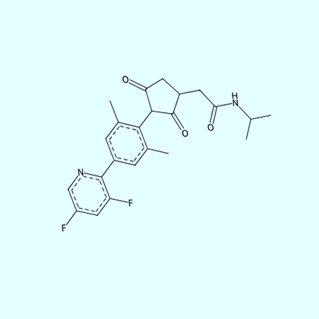 Cc1cc(-c2ncc(F)cc2F)cc(C)c1C1C(=O)CC(CC(=O)NC(C)C)C1=O